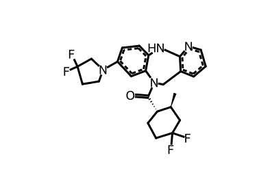 C[C@H]1CC(F)(F)CC[C@@H]1C(=O)N1Cc2cccnc2Nc2ccc(N3CCC(F)(F)C3)cc21